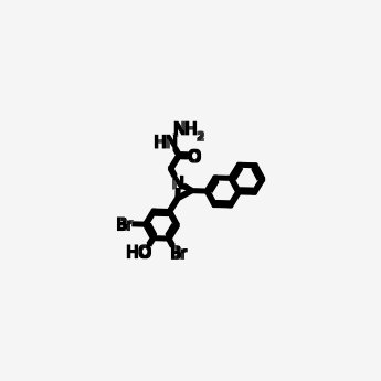 NNC(=O)CN1C(c2cc(Br)c(O)c(Br)c2)C1c1ccc2ccccc2c1